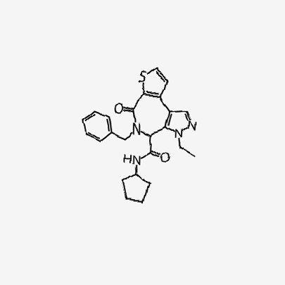 CCn1ncc2c1C(C(=O)NC1CCCC1)N(Cc1ccccc1)C(=O)c1sccc1-2